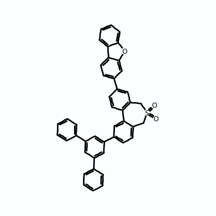 O=S1(=O)Cc2cc(-c3ccc4c(c3)oc3ccccc34)ccc2-c2cc(-c3cc(-c4ccccc4)cc(-c4ccccc4)c3)ccc2C1